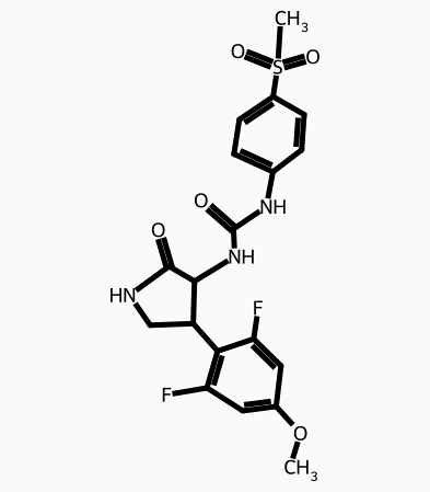 COc1cc(F)c(C2CNC(=O)C2NC(=O)Nc2ccc(S(C)(=O)=O)cc2)c(F)c1